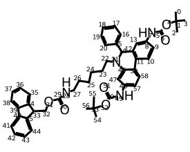 CC(C)(C)OC(=O)Nc1ccc2c(c1)C(c1ccccc1)N(CCCCCCNC(=O)OCC1c3ccccc3-c3ccccc31)c1cc(NC(=O)OC(C)(C)C)ccc1-2